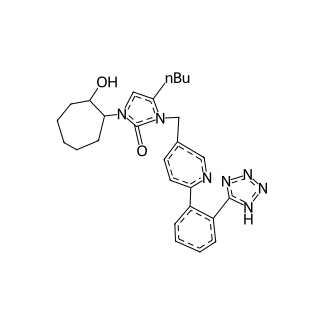 CCCCc1cn(C2CCCCCC2O)c(=O)n1Cc1ccc(-c2ccccc2-c2nnn[nH]2)nc1